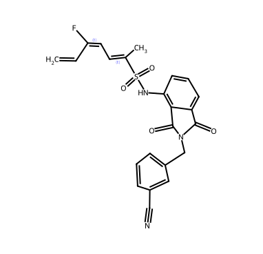 C=C/C(F)=C\C=C(/C)S(=O)(=O)Nc1cccc2c1C(=O)N(Cc1cccc(C#N)c1)C2=O